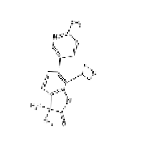 Cc1ncc(-c2ccc3c(c2C2COC2)NC(=O)C3(C)C)cn1